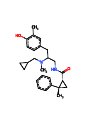 Cc1cc(CC(CNC(=O)[C@@H]2C[C@]2(C)c2ccccc2)N(C)CC2CC2)ccc1O